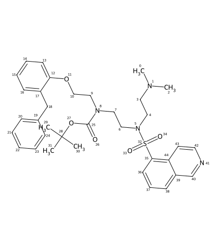 CN(C)CCN(CCN(CCOc1ccccc1Cc1ccccc1)C(=O)OC(C)(C)C)S(=O)(=O)c1cccc2cnccc12